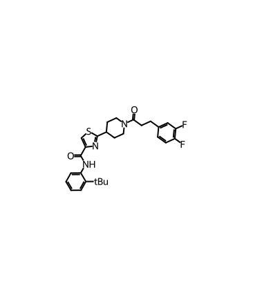 CC(C)(C)c1ccccc1NC(=O)c1csc(C2CCN(C(=O)CCc3ccc(F)c(F)c3)CC2)n1